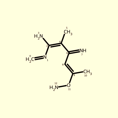 C=N/C(N)=C(/C)C(=N)/C=C(\C)ON